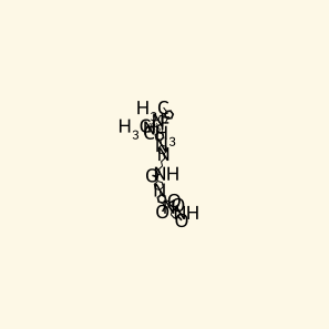 Cc1cccc(F)c1CN1C[C@H](c2ccc(N3CCN(CCCCNC(=O)C4CCN(c5ccc6c(c5)C(=O)N(C5CCC(=O)NC5=O)C6=O)CC4)CC3)cc2)[C@@H](N(C)C)C1